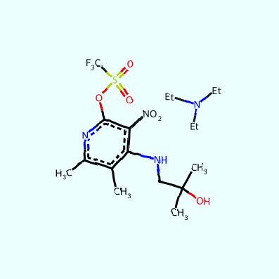 CCN(CC)CC.Cc1nc(OS(=O)(=O)C(F)(F)F)c([N+](=O)[O-])c(NCC(C)(C)O)c1C